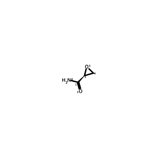 NC(=O)[C@@H]1CO1